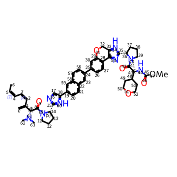 C=C(/C=C\C=C/C)[C@H](C(=O)N1CCC[C@H]1c1ncc(-c2ccc3cc(-c4ccc5c(c4)OCc4[nH]c([C@@H]6CCCN6C(=O)[C@@H](NC(=O)OC)C6CCOCC6)nc4-5)ccc3c2)[nH]1)N(C)C